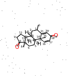 CC1C[C@@H]2[C@H](CC[C@]3(C)C(=O)CC[C@@H]23)[C@@]2(C)C=CC(=O)C=C12